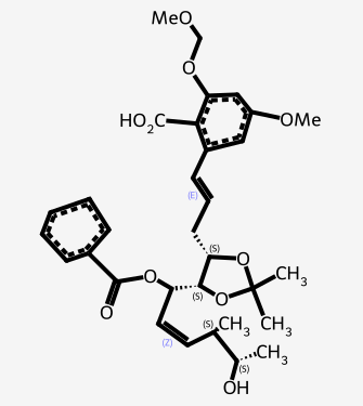 COCOc1cc(OC)cc(/C=C/C[C@@H]2OC(C)(C)O[C@@H]2C(/C=C\[C@H](C)[C@H](C)O)OC(=O)c2ccccc2)c1C(=O)O